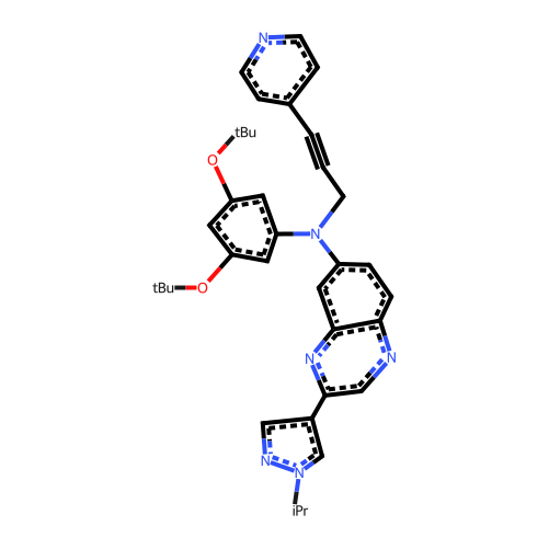 CC(C)n1cc(-c2cnc3ccc(N(CC#Cc4ccncc4)c4cc(OC(C)(C)C)cc(OC(C)(C)C)c4)cc3n2)cn1